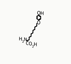 NC(CCCCCCCCCCOc1ccc(O)cc1)C(=O)O